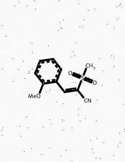 COc1ccccc1C=C(C#N)S(C)(=O)=O